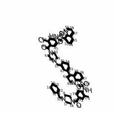 Cc1cc(C(=O)N2CCN(Cc3ccccc3)CC2)ccc1NS(=O)(=O)c1cccc2c(-c3cccc(CN4CCN(C(=O)c5ccc(NS(=O)(=O)c6cccc7cccnc67)cc5Cl)CC4)c3)ccnc12